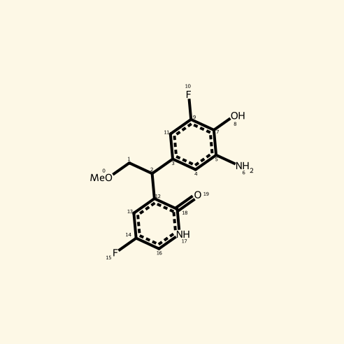 COCC(c1cc(N)c(O)c(F)c1)c1cc(F)c[nH]c1=O